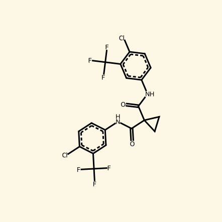 O=C(Nc1ccc(Cl)c(C(F)(F)F)c1)C1(C(=O)Nc2ccc(Cl)c(C(F)(F)F)c2)CC1